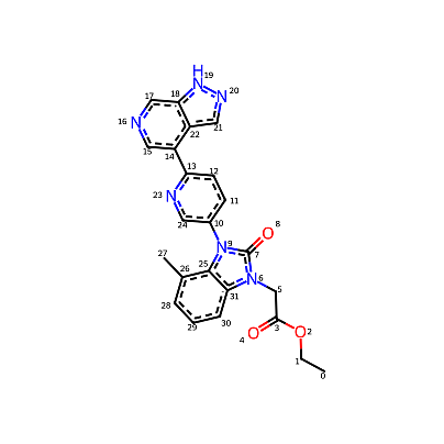 CCOC(=O)Cn1c(=O)n(-c2ccc(-c3cncc4[nH]ncc34)nc2)c2c(C)cccc21